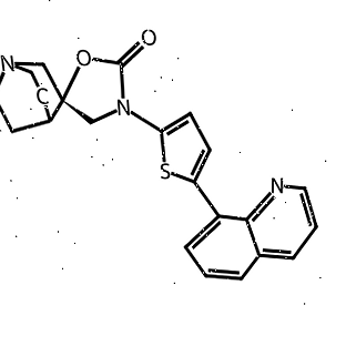 O=C1O[C@]2(CN3CCC2CC3)CN1c1ccc(-c2cccc3cccnc23)s1